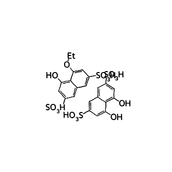 CCOc1cc(S(=O)(=O)O)cc2cc(S(=O)(=O)O)cc(O)c12.O=S(=O)(O)c1cc(O)c2c(O)cc(S(=O)(=O)O)cc2c1